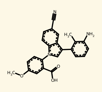 COc1ccc(-n2cc(-c3cccc(N)c3C)c3cc(C#N)ccc32)c(C(=O)O)c1